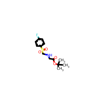 CC(C)(C)OC(=O)CNCS(=O)(=O)c1ccc(F)cc1